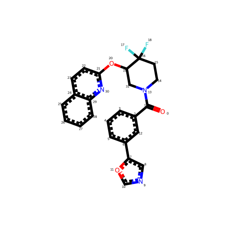 O=C(c1cccc(-c2cnco2)c1)N1CCC(F)(F)C(Oc2ccc3ccccc3n2)C1